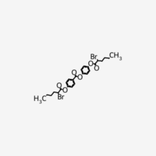 CCCCC(Br)C(=O)Oc1ccc(OC(=O)c2ccc(OC(=O)C(Br)CCCC)cc2)cc1